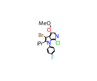 COCOc1cnc(Cl)c2c1c(Br)c(C(C)C)n2-c1ccc(F)cc1